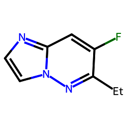 CCc1nn2ccnc2cc1F